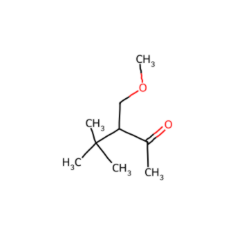 COCC(C(C)=O)C(C)(C)C